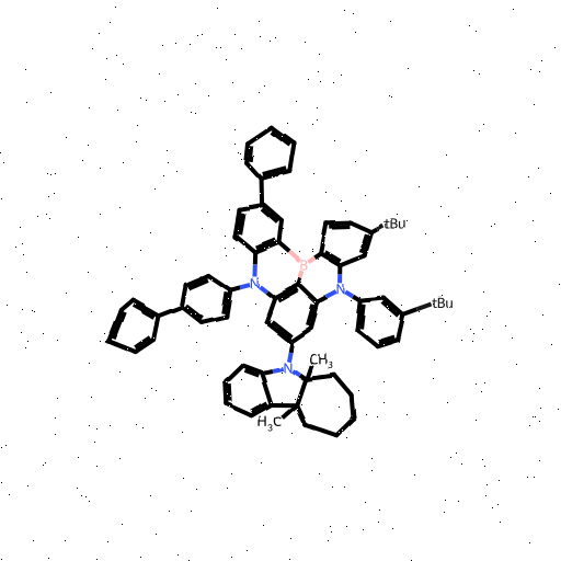 CC(C)(C)c1cccc(N2c3cc(C(C)(C)C)ccc3B3c4cc(-c5ccccc5)ccc4N(c4ccc(-c5ccccc5)cc4)c4cc(N5c6ccccc6C6(C)CCCCCC56C)cc2c43)c1